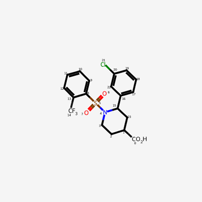 O=C(O)C1CCN(S(=O)(=O)c2ccccc2C(F)(F)F)C(c2cccc(Cl)c2)C1